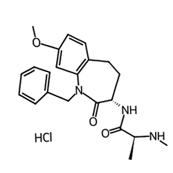 CN[C@@H](C)C(=O)N[C@H]1CCc2ccc(OC)cc2N(Cc2ccccc2)C1=O.Cl